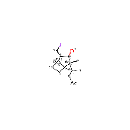 CC(=O)C[C@@H](C)[C@@]1(C)C(=O)[C@H](CI)[C@@]2(C)CCC21